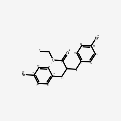 CCOC(=O)C(Cc1ccc(Br)cc1)Cc1ccc(Br)cc1